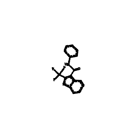 O=C(Nc1ccccc1)c1c(C(F)(F)F)sc2ccccc12